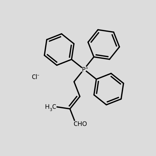 C/C(C=O)=C\C[P+](c1ccccc1)(c1ccccc1)c1ccccc1.[Cl-]